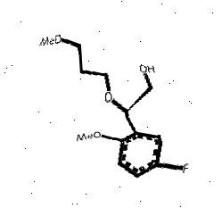 COCCCO[C@@H](CO)c1cc(F)ccc1OC